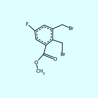 COC(=O)c1cc(F)cc(CBr)c1CBr